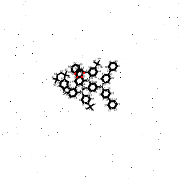 CC(C)(C)c1ccc(N2B3c4ccc(N(c5ccc(-c6ccccc6)cc5)c5ccc(-c6ccccc6)cc5)cc4N(c4ccc(C(C)(C)C)cc4-c4ccccc4)c4c3c(cc3c4oc4ccccc43)-c3c2ccc2sc4cc5c(cc4c32)C(C)(C)CCC5(C)C)cc1